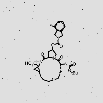 CC(C)(C)OC(=O)NC1CCCCCCCC2CC2(C(=O)O)NC(=O)C2CC(OC(=O)N3Cc4cccc(F)c4C3)CN2C1=O